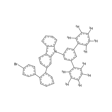 [2H]c1c([2H])c([2H])c(-c2cc(-c3c([2H])c([2H])c([2H])c([2H])c3[2H])cc(-n3c4ccccc4c4ccc(-c5ccccc5-c5ccc(Br)cc5)cc43)c2)c([2H])c1[2H]